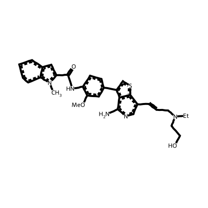 CCN(CC=Cc1cnc(N)c2c(-c3ccc(NC(=O)c4cc5ccccc5n4C)c(OC)c3)csc12)CCO